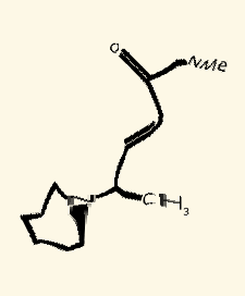 CNC(=O)C=CC(C)N1CCCC1